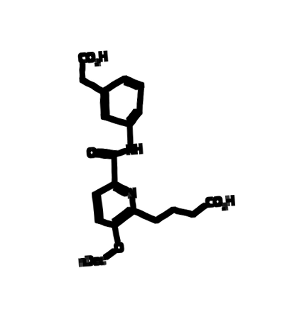 CCCCCCCCCCOc1ccc(C(=O)Nc2cccc(CC(=O)O)c2)nc1CCCC(=O)O